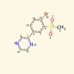 CS(=O)(=O)c1cc(-c2cnccn2)ccc1Br